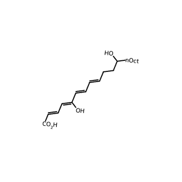 CCCCCCCCC(O)CC/C=C/C=C/C(O)=C/C=C/C(=O)O